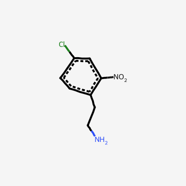 NCCc1ccc(Cl)cc1[N+](=O)[O-]